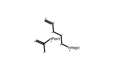 C=C(C)CCCCC.C=CCCCCCCCCCC